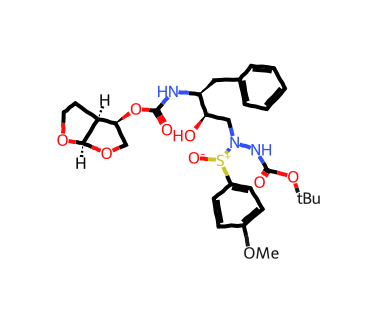 COc1ccc([S+]([O-])N(C[C@@H](O)[C@H](Cc2ccccc2)NC(=O)O[C@H]2CO[C@H]3OCC[C@H]32)NC(=O)OC(C)(C)C)cc1